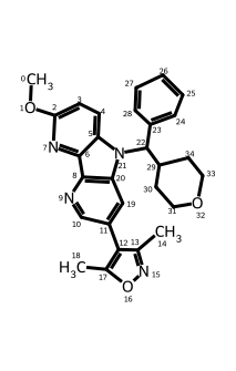 COc1ccc2c(n1)c1ncc(-c3c(C)noc3C)cc1n2C(c1ccccc1)C1CCOCC1